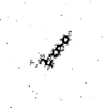 NC(=O)C1CC(F)(F)CN1Cc1ccc2oc(-c3ccc(F)cc3)cc2c1